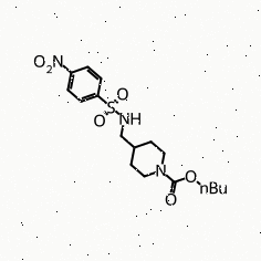 CCCCOC(=O)N1CCC(CNS(=O)(=O)c2ccc([N+](=O)[O-])cc2)CC1